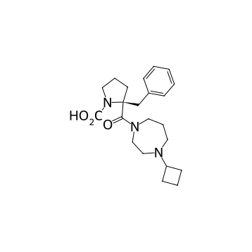 O=C(O)N1CCC[C@]1(Cc1ccccc1)C(=O)N1CCCN(C2CCC2)CC1